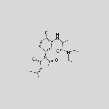 CCN(CC)C(=O)C(C)Nc1cc(N2C(=O)CC(=C(C)C)C2=O)ccc1Cl